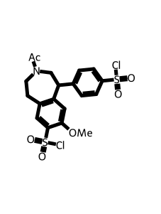 COc1cc2c(cc1S(=O)(=O)Cl)CCN(C(C)=O)CC2c1ccc(S(=O)(=O)Cl)cc1